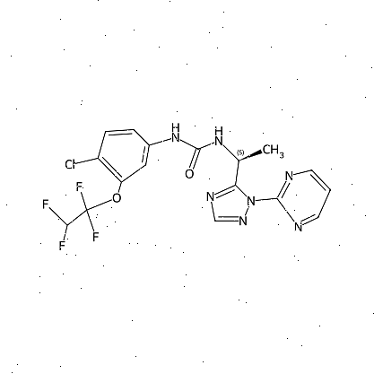 C[C@H](NC(=O)Nc1ccc(Cl)c(OC(F)(F)C(F)F)c1)c1ncnn1-c1ncccn1